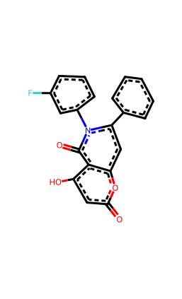 O=c1cc(O)c2c(=O)n(-c3cccc(F)c3)c(-c3ccccc3)cc2o1